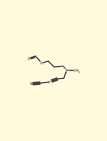 CN(CC#[N+]C#N)CCCOC=O